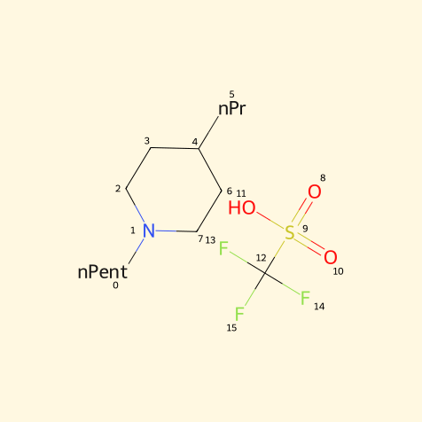 CCCCCN1CCC(CCC)CC1.O=S(=O)(O)C(F)(F)F